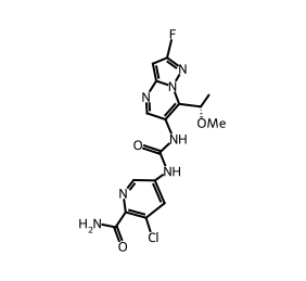 CO[C@@H](C)c1c(NC(=O)Nc2cnc(C(N)=O)c(Cl)c2)cnc2cc(F)nn12